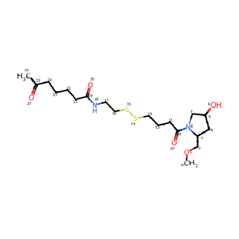 COCC1CC(O)CN1C(=O)CCCSSCCNC(=O)CCCCC(C)=O